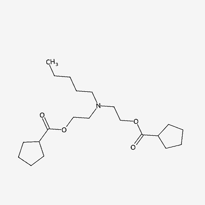 CCCCCN(CCOC(=O)C1CCCC1)CCOC(=O)C1CCCC1